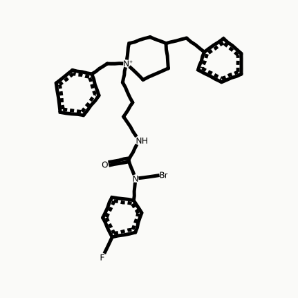 O=C(NCCC[N+]1(Cc2ccccc2)CCC(Cc2ccccc2)CC1)N(Br)c1ccc(F)cc1